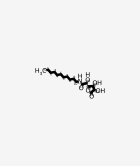 CCCCCCCCCCCNC(=O)C(O)[C@H]1OC(=O)[C@@H](O)[C@H]1O